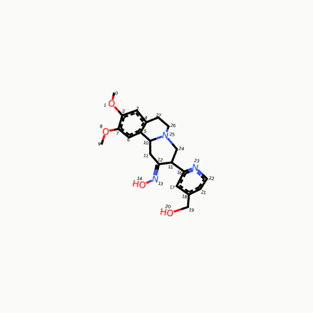 COc1cc2c(cc1OC)C1CC(=NO)C(c3cc(CO)ccn3)CN1CC2